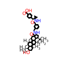 C=C(C)[C@@H]1CCC2(C(=O)NCc3cccc(C(=O)NC4(Cc5ccc(C(=O)O)cc5)CC4)c3)CC[C@]3(C)C(CCC4C5(C)CCC(O)C(C)(C)C5CCC43C)C12